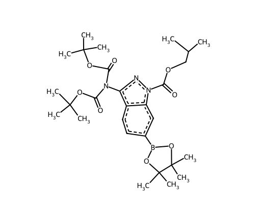 CC(C)COC(=O)n1nc(N(C(=O)OC(C)(C)C)C(=O)OC(C)(C)C)c2ccc(B3OC(C)(C)C(C)(C)O3)cc21